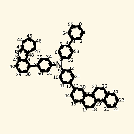 c1ccc(-c2ccc(N(c3ccc(-c4ccc5ccc6c7ccccc7ccc6c5c4)cc3)c3ccc(-c4cccc5sc6ccccc6c45)cc3)cc2)cc1